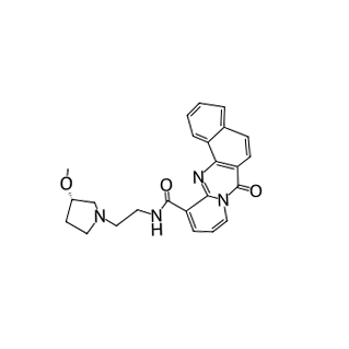 CO[C@H]1CCN(CCNC(=O)c2cccn3c(=O)c4ccc5ccccc5c4nc23)C1